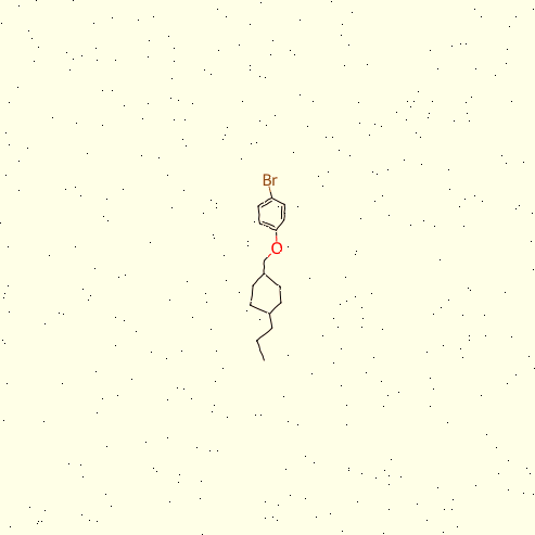 CCCC1CCC(COc2ccc(Br)cc2)CC1